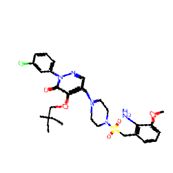 COc1cccc(CS(=O)(=O)N2CCN(c3cnn(-c4cccc(Cl)c4)c(=O)c3OCC(C)(C)C)CC2)c1N